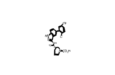 N#Cc1ccc(Cl)c(-c2ccc3[nH]nc(NC(=O)[C@@H]4CCCN(C(=O)O)C4)c3c2)c1